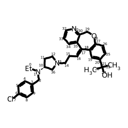 CCN(Cc1ccc(Cl)cc1)[C@@H]1CCN(CC/C=C2/c3cc(C(C)(C)O)ccc3OCc3ncccc32)C1